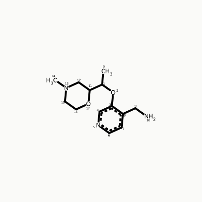 CC(Oc1cnccc1CN)C1CN(C)CCO1